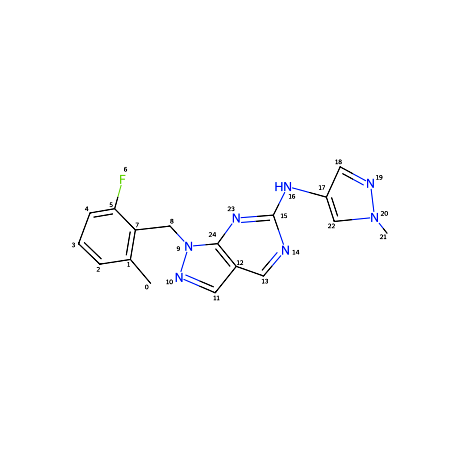 Cc1cccc(F)c1Cn1ncc2cnc(Nc3cnn(C)c3)nc21